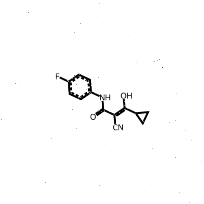 N#CC(C(=O)Nc1ccc(F)cc1)=C(O)C1CC1